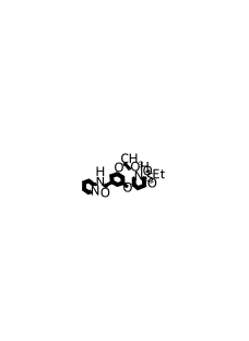 CCS(=O)(=O)c1ccc(Oc2cc(O[C@@H](C)CO)cc(C(=O)Nc3ccccn3)c2)cn1